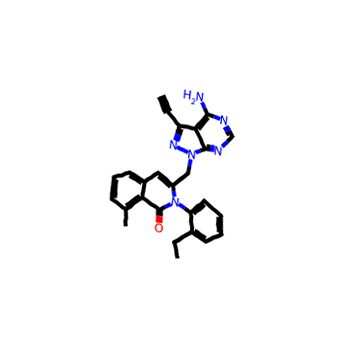 C#Cc1nn(Cc2cc3cccc(C)c3c(=O)n2-c2ccccc2CC)c2ncnc(N)c12